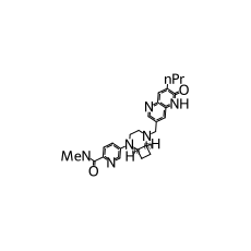 CCCc1cc2ncc(CN3CCN(c4ccc(C(=O)NC)nc4)[C@@H]4CC[C@H]43)cc2[nH]c1=O